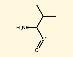 CC(C)[C@H](N)[S+]=O